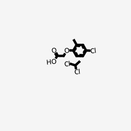 CC(Cl)Cl.Cc1cc(Cl)ccc1OCC(=O)O